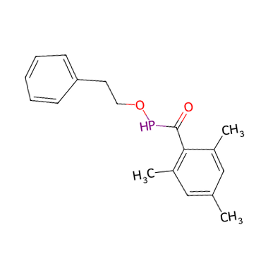 Cc1cc(C)c(C(=O)POCCc2ccccc2)c(C)c1